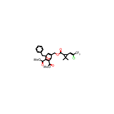 COC(=O)C1=C(C(=O)OC)C2(Cc3ccccc3)C=C(COC(=O)C3C(/C=C(\Cl)C(F)(F)F)C3(C)C)C1O2